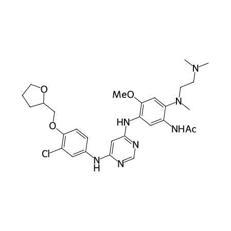 COc1cc(N(C)CCN(C)C)c(NC(C)=O)cc1Nc1cc(Nc2ccc(OCC3CCCO3)c(Cl)c2)ncn1